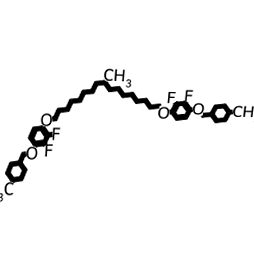 CC(CCCCCCCCOc1ccc(OCC2CCC(C)CC2)c(F)c1F)CCCCCCCCOc1ccc(OCC2CCC(C)CC2)c(F)c1F